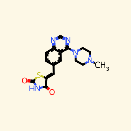 CN1CCN(c2ncnc3ccc(/C=C4\SC(=O)NC4=O)cc23)CC1